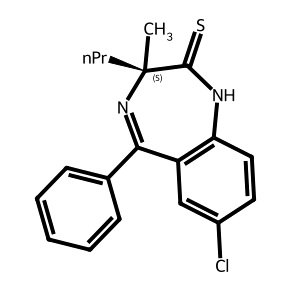 CCC[C@]1(C)N=C(c2ccccc2)c2cc(Cl)ccc2NC1=S